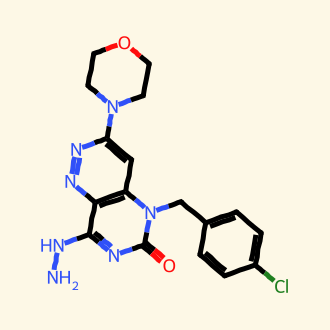 NNc1nc(=O)n(Cc2ccc(Cl)cc2)c2cc(N3CCOCC3)nnc12